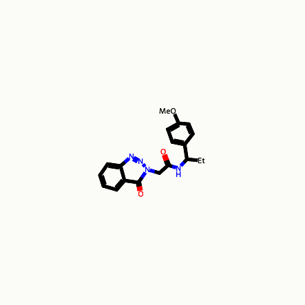 CCC(NC(=O)Cn1nnc2ccccc2c1=O)c1ccc(OC)cc1